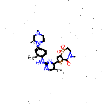 CCc1cc(N2CCN(C)C[C@@H]2C)ccc1Nc1ncc(C(F)(F)F)c(-c2cc3c(s2)C(=O)N(C)CCS3(=O)=O)n1